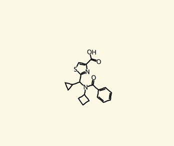 O=C(O)c1csc(C(C2CC2)N(C(=O)c2ccccc2)C2CCC2)n1